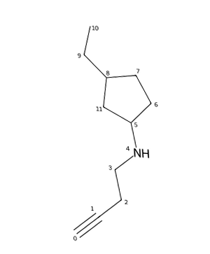 C#CCCNC1CCC(CC)C1